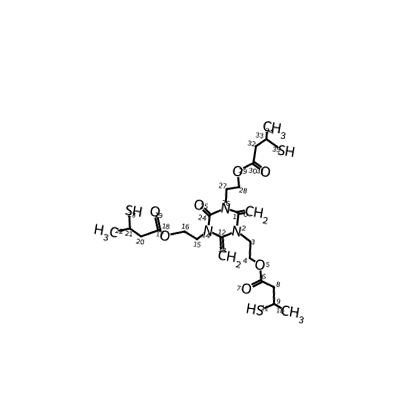 C=C1N(CCOC(=O)CC(C)S)C(=C)N(CCOC(=O)CC(C)S)C(=O)N1CCOC(=O)CC(C)S